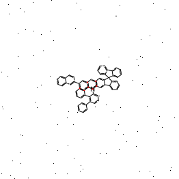 c1ccc(-c2ccccc2-c2c(-c3ccccc3)cccc2N(c2ccc(-c3ccc4ccccc4c3)cc2)c2ccc3c(c2)-c2ccccc2C32c3ccccc3-c3ccccc32)cc1